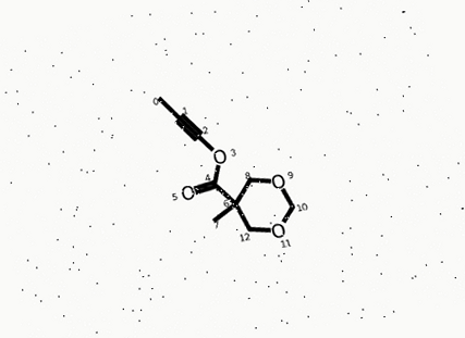 CC#COC(=O)C1(C)COCOC1